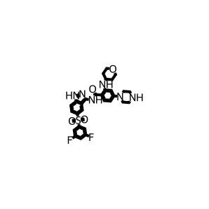 O=C(Nc1n[nH]c2ccc(S(=O)(=O)c3cc(F)cc(F)c3)cc12)c1ccc(N2CCNCC2)cc1NC1CCOCC1